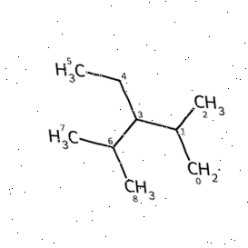 [CH2]C(C)C(CC)C(C)C